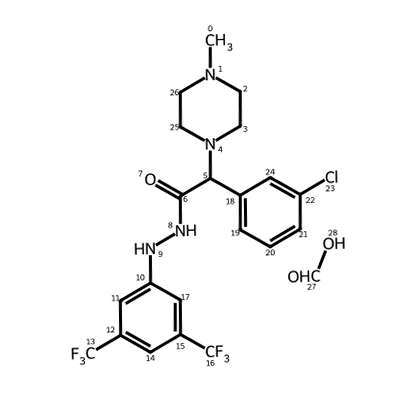 CN1CCN(C(C(=O)NNc2cc(C(F)(F)F)cc(C(F)(F)F)c2)c2cccc(Cl)c2)CC1.O=CO